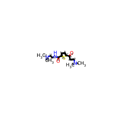 CN(C)/C=C/C(=O)c1ccc(C(=O)NCCN(C)C)s1